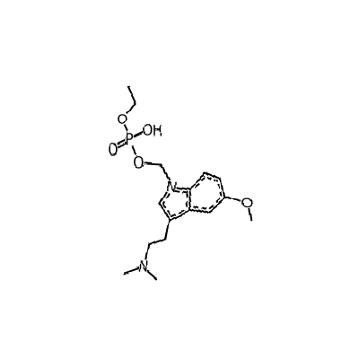 CCOP(=O)(O)OCn1cc(CCN(C)C)c2cc(OC)ccc21